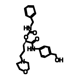 O=C(NCc1ccccc1)O[C@@H](CCCN1CCOCC1)C(=O)Nc1ccc(CO)cc1